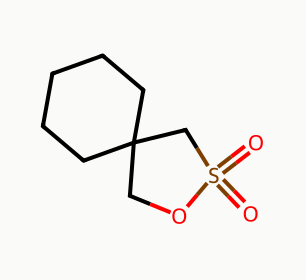 O=S1(=O)CC2(CCCCC2)CO1